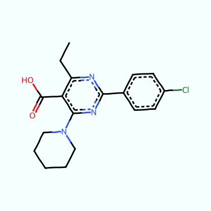 CCc1nc(-c2ccc(Cl)cc2)nc(N2CCCCC2)c1C(=O)O